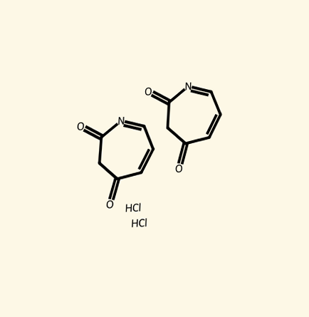 Cl.Cl.O=C1C=CC=NC(=O)C1.O=C1C=CC=NC(=O)C1